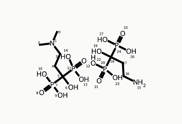 CN(C)CCC(O)(P(=O)(O)O)P(=O)(O)O.NCCC(O)(P(=O)(O)O)P(=O)(O)O